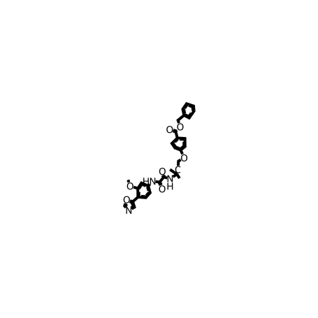 COc1cc(NC(=O)C(=O)NC(C)(C)CCOc2ccc(C(=O)OCc3ccccc3)cc2)ccc1-c1cnco1